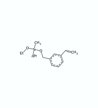 C=Cc1cccc(CO[Si](C)(CCC)OCC)c1